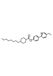 CCCCCCCCC1CCC(C(=O)Oc2ccc(-c3ccc(CC)cn3)cc2)CC1